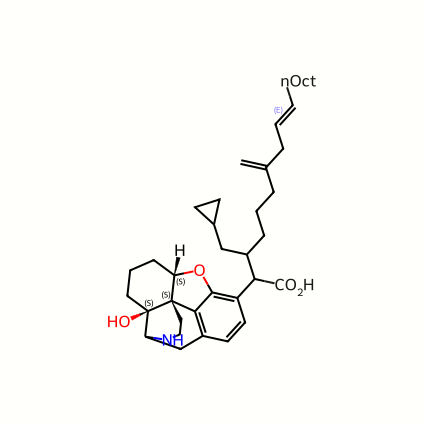 C=C(C/C=C/CCCCCCCC)CCCC(CC1CC1)C(C(=O)O)c1ccc2c3c1O[C@H]1CCC[C@@]4(O)C(C2)NCC[C@]314